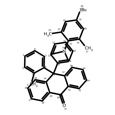 Cc1ccccc1C1(c2c3cccc2N3c2c(C)cc(C(C)(C)C)cc2C)c2ccccc2C(=O)c2ccccc21